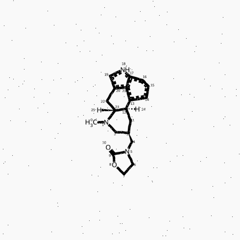 CN1C[C@H](CN2CCOC2=O)C[C@@H]2c3cccc4[nH]cc(c34)C[C@H]21